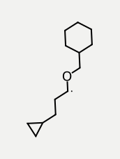 [CH](CCC1CC1)OCC1CCCCC1